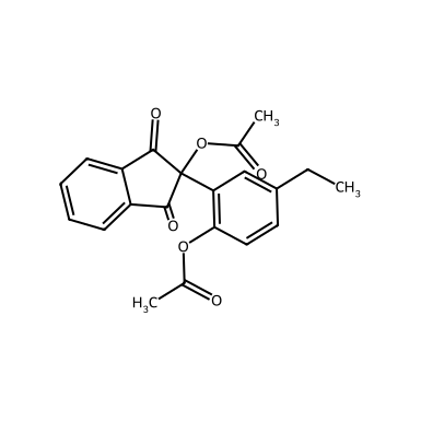 CCc1ccc(OC(C)=O)c(C2(OC(C)=O)C(=O)c3ccccc3C2=O)c1